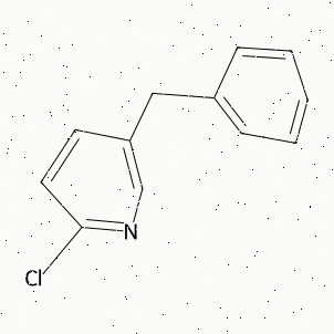 Clc1ccc(Cc2ccccc2)cn1